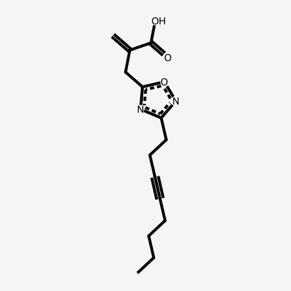 C=C(Cc1nc(CCC#CCCCC)no1)C(=O)O